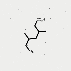 CC(C)CC(C)CC(C)CC(=O)O